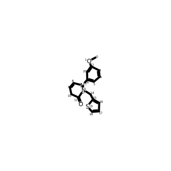 COc1cccc(N2C=CCC(=O)N2Cc2cccs2)c1